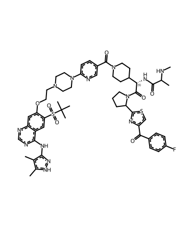 CNC(C)C(=O)N[C@H](C(=O)N1CCCC1c1nc(C(=O)c2ccc(F)cc2)cs1)C1CCN(C(=O)c2ccc(N3CCN(CCOc4cc5ncnc(Nc6n[nH]c(C)c6C)c5cc4S(=O)(=O)C(C)(C)C)CC3)nc2)CC1